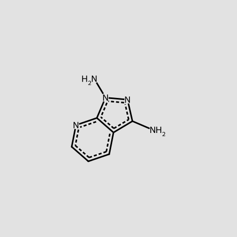 Nc1nn(N)c2ncccc12